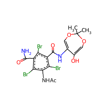 CC(=O)Nc1c(Br)c(C(N)=O)c(Br)c(C(=O)NC2=COC(C)(C)OC=C2O)c1Br